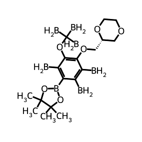 Bc1c(B)c(B2OC(C)(C)C(C)(C)O2)c(B)c(OC(B)(B)B)c1OC[C@H]1COCCO1